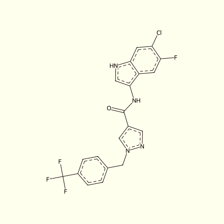 O=C(Nc1c[nH]c2cc(Cl)c(F)cc12)c1cnn(Cc2ccc(C(F)(F)F)cc2)c1